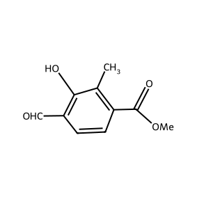 COC(=O)c1ccc(C=O)c(O)c1C